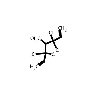 C=CC(Cl)(Cl)C([C]=O)C(Cl)(Cl)C=C